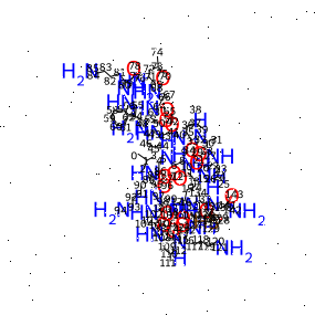 CC(C)C[C@H](NC(=O)[C@H](C)NC(=O)[C@H](CCCCN)NC(=O)[C@H](CC(C)C)NC(=O)[C@H](C)NC(=O)[C@H](CC(C)C)NC(=O)[C@H](CCCCN)NC(=O)[C@H](Cc1c[nH]c2ccccc12)NC(=O)[C@H](C)NC(=O)[C@H](CC(C)C)NC(=O)[C@@H](N)CCCCN)C(=O)N[C@@H](CCCCN)C(=O)N[C@@H](C)C(=O)N[C@@H](C)C(=O)N[C@@H](CC(C)C)C(=O)N[C@@H](CCCCN)C(=O)N[C@@H](CC(C)C)C(=O)N[C@@H](C)C(=O)N[C@@H](CS)C(N)=O